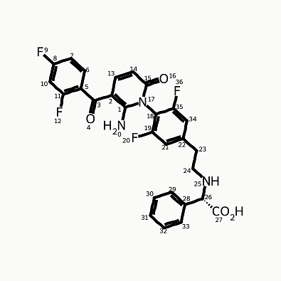 Nc1c(C(=O)c2ccc(F)cc2F)ccc(=O)n1-c1c(F)cc(CCN[C@H](C(=O)O)c2ccccc2)cc1F